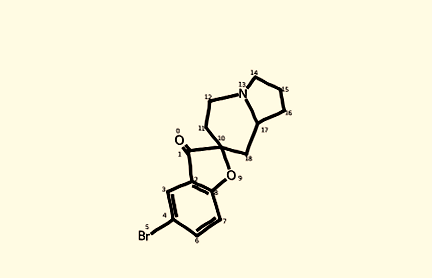 O=C1c2cc(Br)ccc2OC12CCN1CCCC1C2